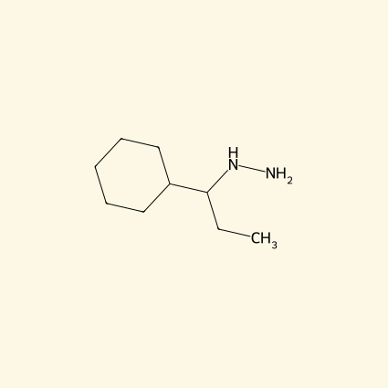 CCC(NN)C1CCCCC1